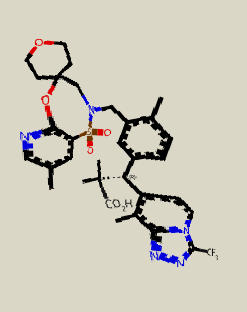 Cc1cnc2c(c1)S(=O)(=O)N(Cc1cc([C@H](c3ccn4c(C(F)(F)F)nnc4c3C)C(C)(C)C(=O)O)ccc1C)CC1(CCOCC1)O2